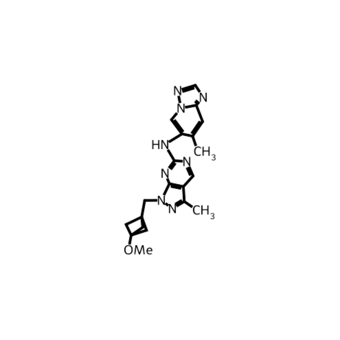 COC12CC(Cn3nc(C)c4cnc(Nc5cn6ncnc6cc5C)nc43)(C1)C2